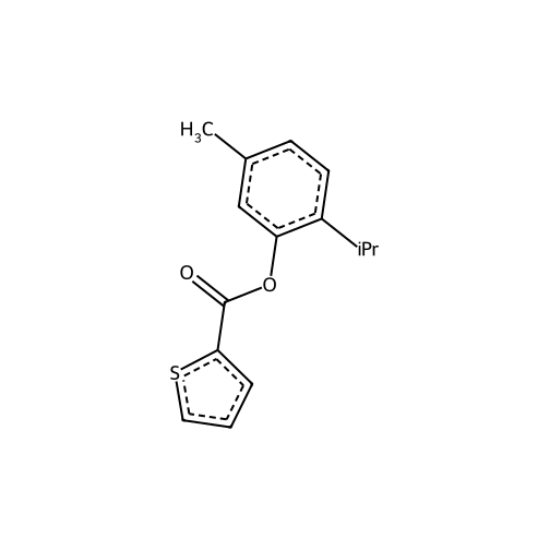 Cc1ccc(C(C)C)c(OC(=O)c2cccs2)c1